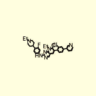 CCN1CCC(c2ccc(Nc3ncc4cc(-c5ccc(-c6cccnc6)cc5Cl)c(=O)n(CC)c4n3)cc2F)CC1